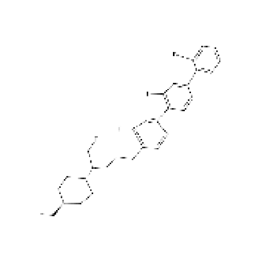 CC[C@H]1CC[C@H](C(CF)CCCc2ccc(-c3ccc(-c4ccccc4F)cc3F)cc2F)CC1